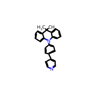 CC1(C)c2ccccc2N(c2ccc(-c3ccncc3)cc2)c2ccccc21